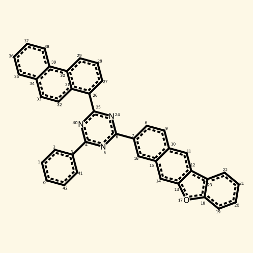 c1ccc(-c2nc(-c3ccc4cc5c(cc4c3)oc3ccccc35)nc(-c3cccc4c3ccc3ccccc34)n2)cc1